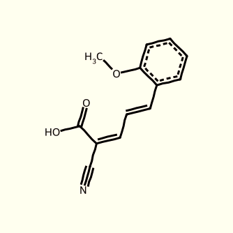 COc1ccccc1C=CC=C(C#N)C(=O)O